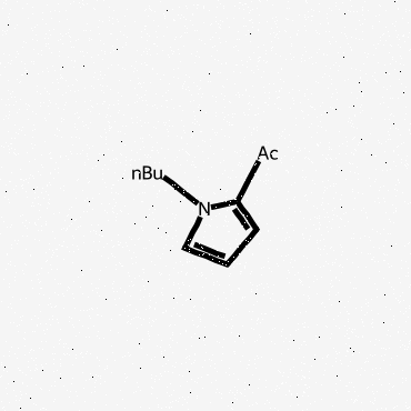 CCCCn1cccc1C(C)=O